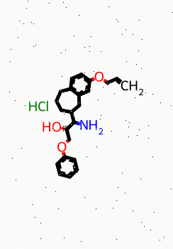 C=CCOc1ccc2c(c1)CC(C(N)[C@H](O)COc1ccccc1)CCC2.Cl